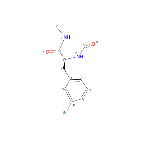 CNC(=O)[C@H](Cc1cccc(Br)c1)NC=O